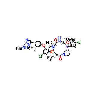 COC[C@@H]1NC(=O)[C@H](C)N(Cc2c(F)cc(Cl)cc2Oc2ccc(-c3cnc(CNC(C)(C)C)n3C)cc2)C(=O)C[C@@H](CC(F)(F)F)C(=O)N2CCC[C@@](Cc3ccc(Cl)cc3)(C2)N(C)C1=O